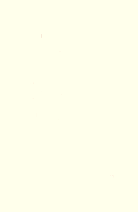 CCCC(C)CCCc1ccc(-c2cc(F)c(C(F)(F)Oc3cc(F)c(F)c(F)c3)c(F)c2)c(F)c1